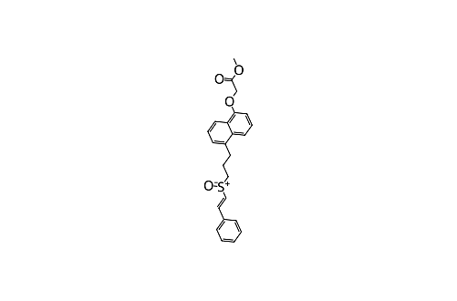 COC(=O)COc1cccc2c(CCC[S+]([O-])C=Cc3ccccc3)cccc12